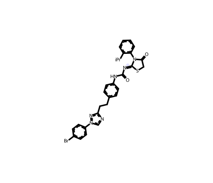 CC(C)c1ccccc1N1C(=O)CS/C1=N\C(=O)Nc1ccc(CCc2ncn(-c3ccc(Br)cc3)n2)cc1